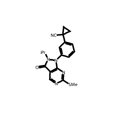 CSc1ncc2c(=O)n(C(C)C)n(-c3cccc(C4(C#N)CC4)c3)c2n1